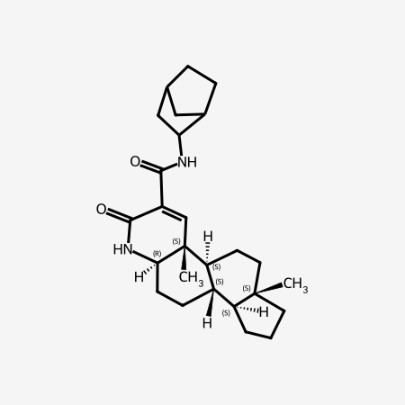 C[C@@]12CCC[C@H]1[C@@H]1CC[C@H]3NC(=O)C(C(=O)NC4CC5CCC4C5)=C[C@]3(C)[C@H]1CC2